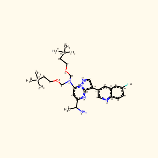 CC(N)c1cc(N(COCC[Si](C)(C)C)COCC[Si](C)(C)C)n2ncc(-c3cnc4ccc(F)cc4c3)c2n1